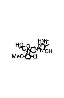 COc1ccc(Cl)c2c1N(CC(C)(C)O)C(=O)C21CCN(c2nc(O)c3c(n2)NCCC3)CC1